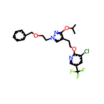 CC(C)Oc1nn(CCOCc2ccccc2)cc1CCOc1ncc(C(F)(F)F)cc1Cl